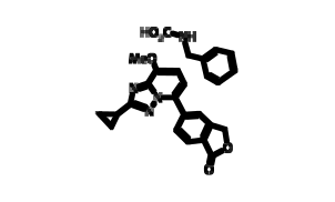 COc1ccc(-c2ccc3c(c2)COC3=O)n2nc(C3CC3)nc12.O=C(O)NCc1ccccc1